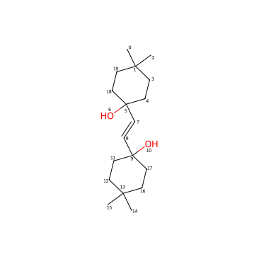 CC1(C)CCC(O)(C=CC2(O)CCC(C)(C)CC2)CC1